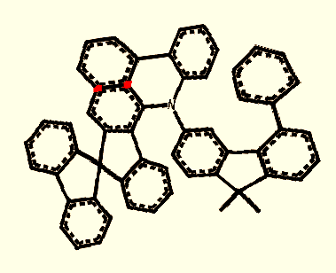 CC1(C)c2ccc(N(c3ccccc3-c3ccccc3)c3cccc4c3-c3ccccc3C43c4ccccc4-c4ccccc43)cc2-c2c(-c3ccccc3)cccc21